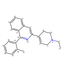 CCN1CC=C(c2cc3ccccc3c(-c3ccccc3C)n2)CC1